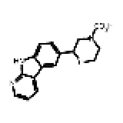 O=C(O)N1CCOC(c2ccc3[nH]c4ncccc4c3c2)C1